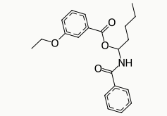 CCCCC(NC(=O)c1ccccc1)OC(=O)c1cccc(OCC)c1